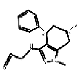 C[C@@H]1Cc2c(c(NCC=O)nn2C)[C@H](c2ccccc2)C1